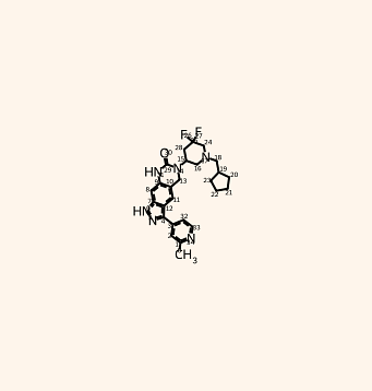 Cc1cc(-c2n[nH]c3cc4c(cc23)CN(C2CN(CC3CCCC3)CC(F)(F)C2)C(=O)N4)ccn1